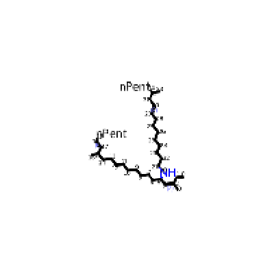 C=C/C(C)=C\C(CCCCCCCCCC(C)/C=C/CCCCC)NCCCCCCCC/C=C/CC(C)CCCCC